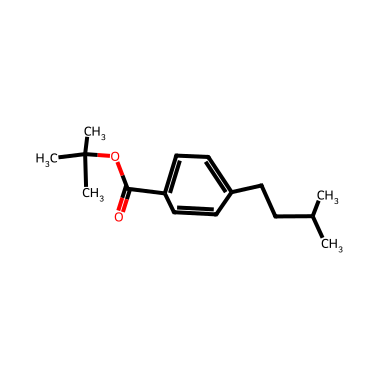 CC(C)CCc1ccc(C(=O)OC(C)(C)C)cc1